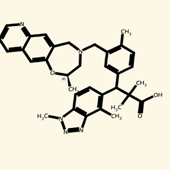 Cc1ccc(C(c2ccc3c(nnn3C)c2C)C(C)(C)C(=O)O)cc1CN1Cc2cc3ncccc3cc2O[C@H](C)C1